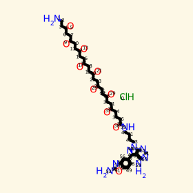 Cl.NCCC(=O)CCC(=O)CCC(=O)CCC(=O)CCC(=O)CCC(=O)CCC(=O)CCC(=O)CCCC(=O)NCCCCn1nc(-c2ccc3oc(N)nc3c2)c2c(N)ncnc21